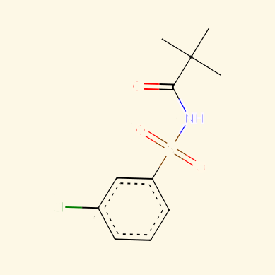 CC(C)(C)C(=O)NS(=O)(=O)c1cccc(Cl)c1